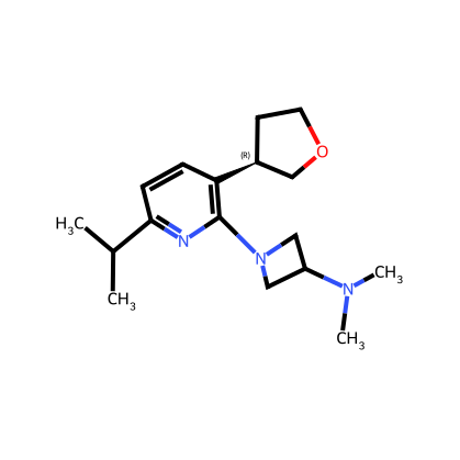 CC(C)c1ccc([C@H]2CCOC2)c(N2CC(N(C)C)C2)n1